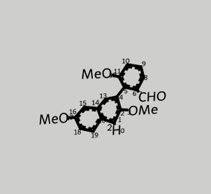 [2H]c1c(OC)c(-c2c(C=O)cccc2OC)cc2cc(OC)ccc12